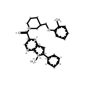 Cc1ccccc1OCC1CCCN(C(=O)c2cnc3c(cc(-c4ccccc4)n3C)n2)C1